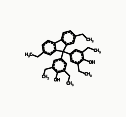 CCc1ccc2c(c1)C(c1cc(CC)c(O)c(CC)c1)(c1cc(CC)c(O)c(CC)c1)c1cc(CC)ccc1-2